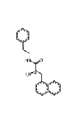 N[C@H](Cc1cccc2ccccc12)C(=O)NCCc1ccccc1